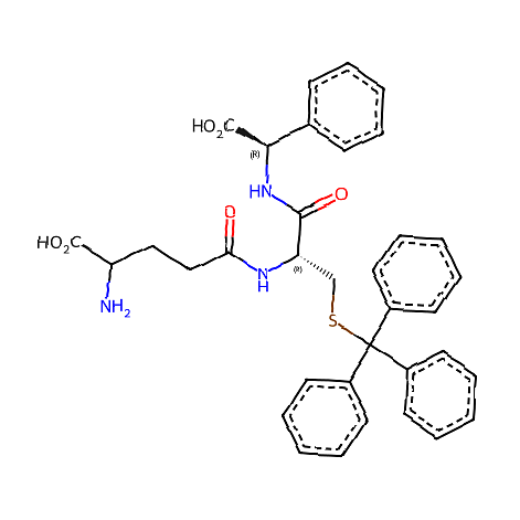 NC(CCC(=O)N[C@@H](CSC(c1ccccc1)(c1ccccc1)c1ccccc1)C(=O)N[C@@H](C(=O)O)c1ccccc1)C(=O)O